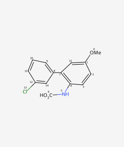 COc1ccc(NC(=O)O)c(-c2cccc(Cl)c2)c1